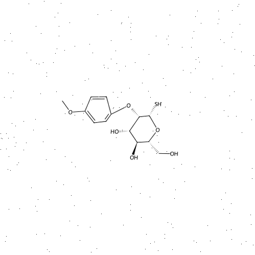 COc1ccc(O[C@H]2[C@@H](O)[C@H](O)[C@@H](CO)O[C@H]2S)cc1